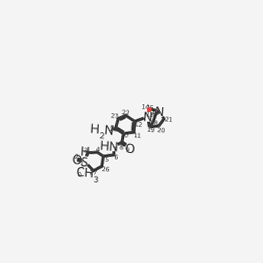 C[SH]1(=O)CCC(CNC(=O)c2cc(N3CCN4CCC3CC4)ccc2N)CC1